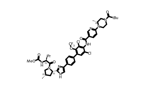 COC(=O)N[C@H](C(=O)N1C[C@@H](C)C[C@H]1c1nc(-c2ccc(-c3cc(Cl)c(NC(=O)c4ccc(N5CCN(C(=O)C(C)(C)C)C[C@H]5C)nc4)c(Cl)c3OC(F)(F)F)cc2)c[nH]1)C(C)C